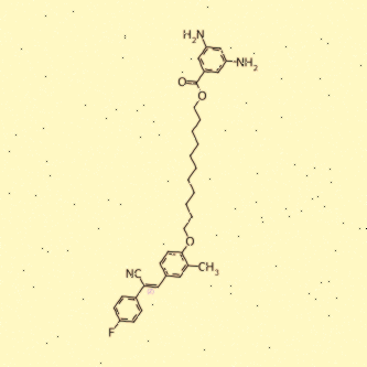 Cc1cc(/C=C(\C#N)c2ccc(F)cc2)ccc1OCCCCCCCCCCCOC(=O)c1cc(N)cc(N)c1